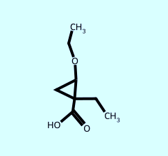 CCOC1CC1(CC)C(=O)O